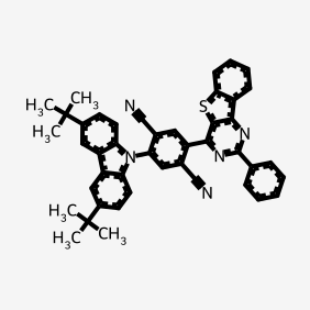 CC(C)(C)c1ccc2c(c1)c1cc(C(C)(C)C)ccc1n2-c1cc(C#N)c(-c2nc(-c3ccccc3)nc3c2sc2ccccc23)cc1C#N